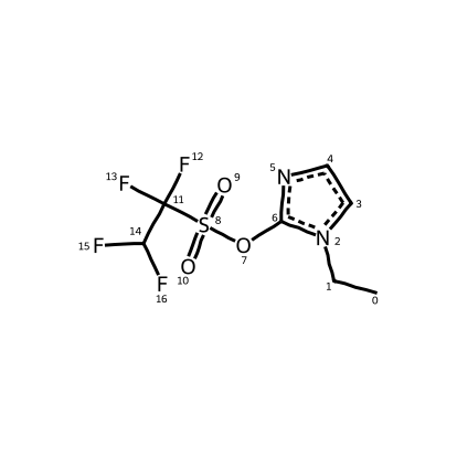 CCn1ccnc1OS(=O)(=O)C(F)(F)C(F)F